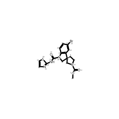 COC(=O)N1CC[C@@]2(C1)CN(C(=O)Nc1nccs1)c1ccc(Br)cc12